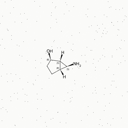 N[C@H]1[C@@H]2CC[C@@H](O)[C@H]12